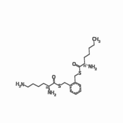 CCCCC[C@H](N)C(=O)SCc1ccccc1CSC(=O)[C@@H](N)CCCCN